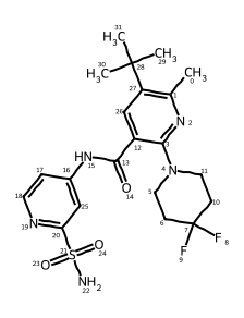 Cc1nc(N2CCC(F)(F)CC2)c(C(=O)Nc2ccnc(S(N)(=O)=O)c2)cc1C(C)(C)C